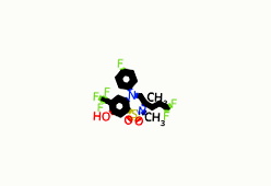 CN1C(C)(CCC(F)F)CN(c2ccc(F)cc2)c2cc(C(F)(F)F)c(O)cc2S1(=O)=O